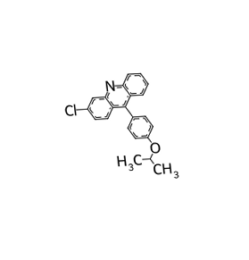 CC(C)Oc1ccc(-c2c3ccccc3nc3cc(Cl)ccc23)cc1